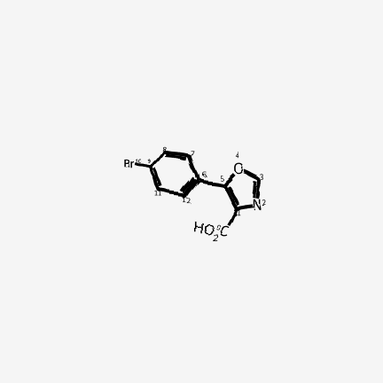 O=C(O)c1ncoc1-c1ccc(Br)cc1